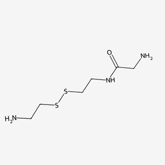 NCCSSCCNC(=O)CN